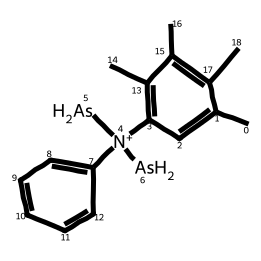 Cc1cc([N+]([AsH2])([AsH2])c2ccccc2)c(C)c(C)c1C